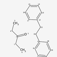 CCC(=O)CC.c1ccc(CCc2ccccc2)cc1